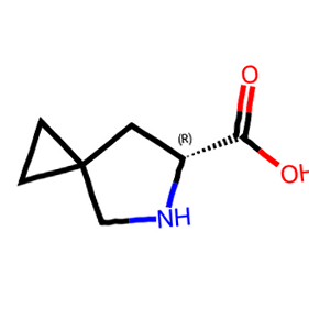 O=C(O)[C@H]1CC2(CC2)CN1